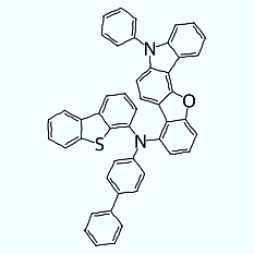 c1ccc(-c2ccc(N(c3cccc4c3sc3ccccc34)c3cccc4oc5c(ccc6c5c5ccccc5n6-c5ccccc5)c34)cc2)cc1